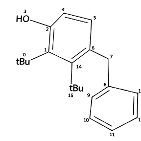 CC(C)(C)c1c(O)ccc(Cc2ccccc2)c1C(C)(C)C